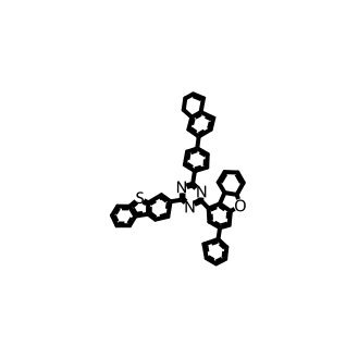 C1=CC2Oc3cc(-c4ccccc4)cc(-c4nc(-c5ccc(-c6ccc7c(c6)CCC=C7)cc5)nc(-c5ccc6c(c5)sc5ccccc56)n4)c3C2C=C1